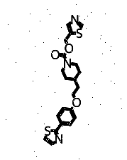 O=C(OCc1cncs1)N1CCC(CCOc2ccc(-c3nccs3)cc2)CC1